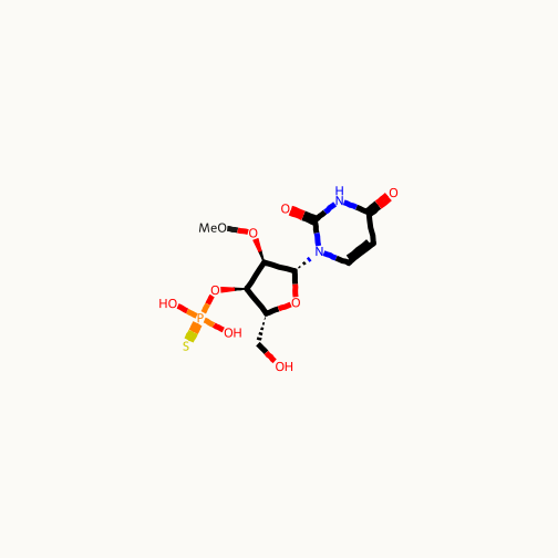 COO[C@@H]1[C@H](OP(O)(O)=S)[C@@H](CO)O[C@H]1n1ccc(=O)[nH]c1=O